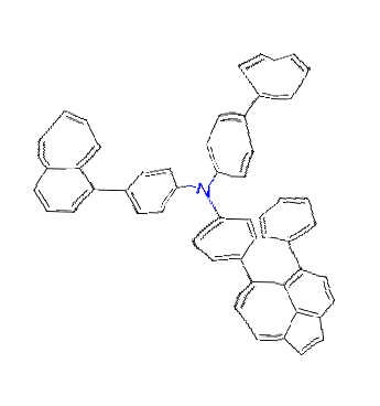 C1=Cc2ccc(-c3ccc(N(c4ccc(-c5ccccc5)cc4)c4ccc(-c5cccc6ccccc56)cc4)cc3)c3c(-c4ccccc4)ccc1c23